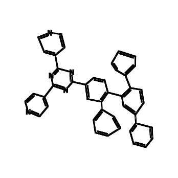 c1ccc(-c2ccc(-c3ccccc3)c(-c3ccc(-c4nc(-c5ccncc5)nc(-c5ccncc5)n4)cc3-c3ccccc3)c2)cc1